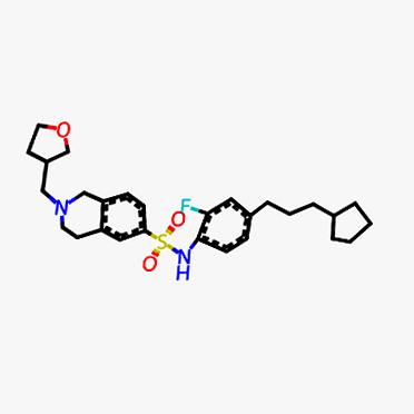 O=S(=O)(Nc1ccc(CCCC2CCCC2)cc1F)c1ccc2c(c1)CCN(CC1CCOC1)C2